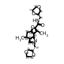 Cc1c(C(=O)NC[C@@H]2COCCO2)oc2c1-c1nn(C[C@H]3COCCO3)cc1C(C)C2